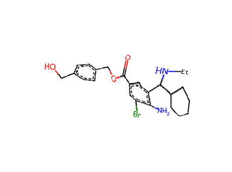 CCNC(c1cc(C(=O)OCc2ccc(CO)cc2)cc(Br)c1N)C1CCCCC1